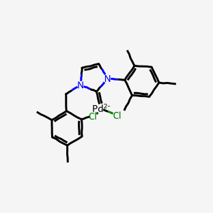 Cc1cc(C)c(Cn2ccn(-c3c(C)cc(C)cc3C)[c]2=[Pd-2]([Cl])[Cl])c(C)c1